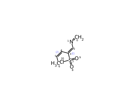 C=N/C=C(\C=C/C)S(=O)(=O)Cl